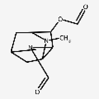 CN1C2CC3CC1C(C2OC=O)N(C=O)C3